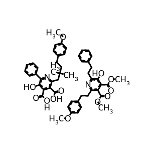 COC(=O)c1c(CCc2ccc(OC)cc2)nc(CCc2ccccc2)c(O)c1C(=O)OC.COc1ccc(CCC(C)(C)Cc2nc(-c3ccccc3)c(O)c(C(=O)O)c2C(=O)O)cc1